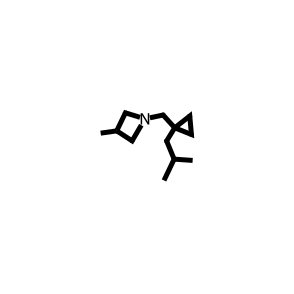 CC(C)CC1(CN2CC(C)C2)CC1